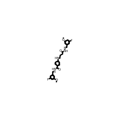 COc1cc(F)cc(C=NNC(=O)CCCNc2ccc(C(=O)NN=Cc3cc(F)cc(OC)c3)cc2)c1